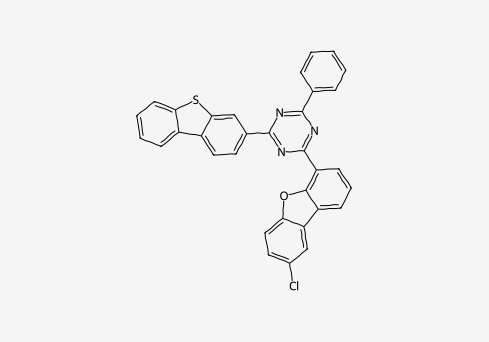 Clc1ccc2oc3c(-c4nc(-c5ccccc5)nc(-c5ccc6c(c5)sc5ccccc56)n4)cccc3c2c1